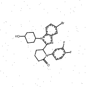 O=C1CCCC(c2nc3cc(Br)ccc3n2C2CCC(O)CC2)N1c1ccc(F)c(F)c1